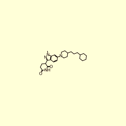 Cn1nc(C2CCC(=O)NC2=O)c2ccc(N3CCC(CCCC4CCCCC4)CC3)cc21